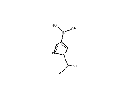 OB(O)c1cnn(C(F)F)c1